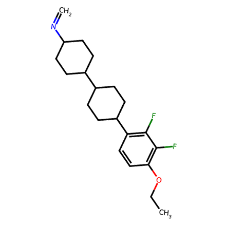 C=NC1CCC(C2CCC(c3ccc(OCC)c(F)c3F)CC2)CC1